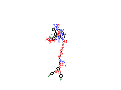 NC(=O)CC[C@H](NC(=O)[C@@H]1CC[C@@H]2CCN(C(=O)CCCOCCOCCOCCOCCNC[C@@H](O)COc3ccc(OCc4ccc(F)cc4)c(OCc4ccc(F)cc4)c3)C[C@H](NC(=O)c3cc4cc(C(F)(F)P(=O)(O)O)ccc4[nH]3)C(=O)N21)C(=O)NC(c1ccccc1)c1ccccc1